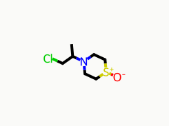 CC(CCl)N1CC[S+]([O-])CC1